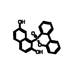 O=P1(c2c(O)ccc3ccc(O)cc23)Oc2ccccc2-c2ccccc21